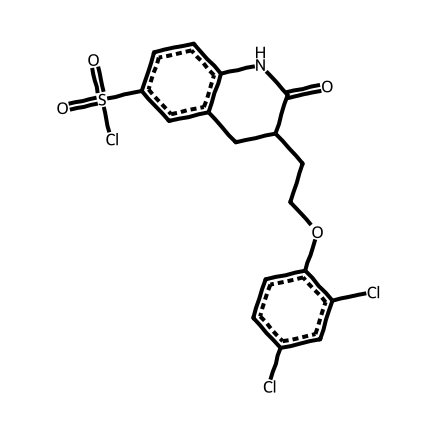 O=C1Nc2ccc(S(=O)(=O)Cl)cc2CC1CCOc1ccc(Cl)cc1Cl